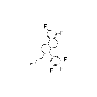 C=CCCC1CCC2c3cc(F)cc(F)c3CCC2C1c1cc(F)c(F)c(F)c1